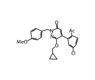 COc1ccc(Cn2nc(OCC3CC3)c(-c3cc(Cl)ccc3C(C)=O)cc2=O)cc1